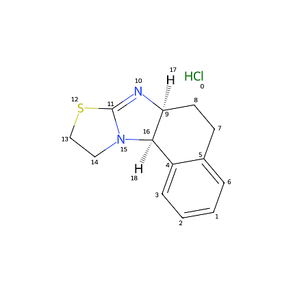 Cl.c1ccc2c(c1)CC[C@@H]1N=C3SCCN3[C@H]21